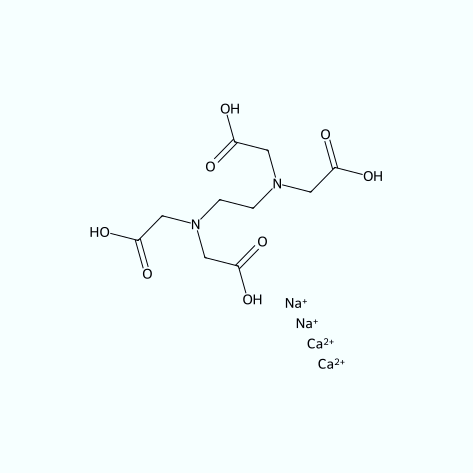 O=C(O)CN(CCN(CC(=O)O)CC(=O)O)CC(=O)O.[Ca+2].[Ca+2].[Na+].[Na+]